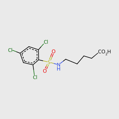 O=C(O)CCCCNS(=O)(=O)c1c(Cl)cc(Cl)cc1Cl